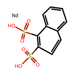 O=S(=O)(O)c1ccc2ccccc2c1S(=O)(=O)O.[Nd]